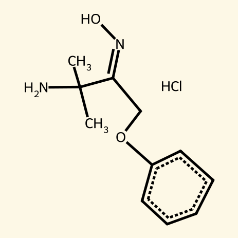 CC(C)(N)/C(COc1ccccc1)=N\O.Cl